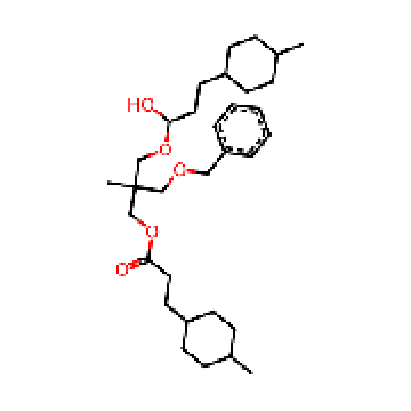 CC1CCC(CCC(=O)OCC(C)(COCc2ccccc2)COC(O)CCC2CCC(C)CC2)CC1